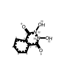 O=c1c2ccccc2c(=O)n(O)n1O